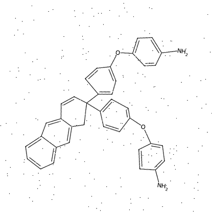 Nc1ccc(Oc2ccc(C3(c4ccc(Oc5ccc(N)cc5)cc4)C=Cc4cc5ccccc5cc4C3)cc2)cc1